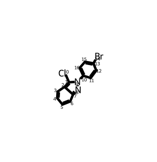 Clc1c2ccccc2nn1-c1ccc(Br)cc1